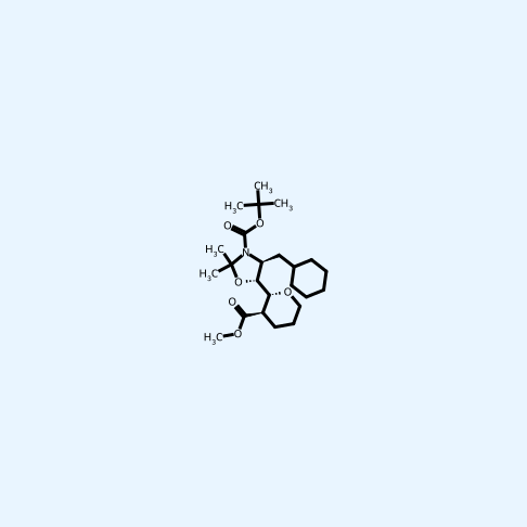 COC(=O)[C@@H]1CCCO[C@H]1[C@@H]1OC(C)(C)N(C(=O)OC(C)(C)C)[C@H]1CC1CCCCC1